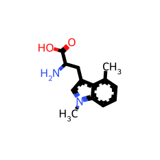 Cc1cccc2c1c(CC(N)C(=O)O)cn2C